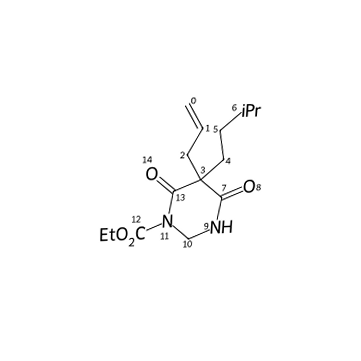 C=CCC1(CCC(C)C)C(=O)NCN(C(=O)OCC)C1=O